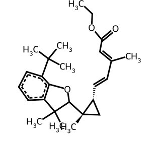 CCOC(=O)C=C(C)C=C[C@@H]1C[C@]1(C)C1Oc2c(C(C)(C)C)cccc2C1(C)C